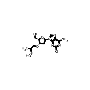 CC(CO[C@H]1C[C@H](n2cnc3c(N)nc(Cl)nc32)O[C@@H]1CO)=NO